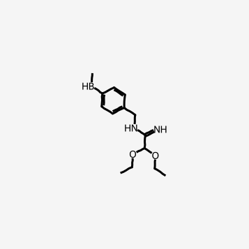 CBc1ccc(CNC(=N)C(OCC)OCC)cc1